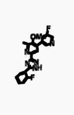 COc1c(-c2cncc(F)c2)cc(-c2n[nH]c(-c3ccccc3F)n2)nc1C